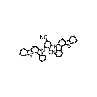 N#Cc1cc(-n2c3ccccc3c3c4sc5ccccc5c4ccc32)c(C#N)c(-n2c3ccccc3c3c4sc5ccccc5c4ccc32)c1